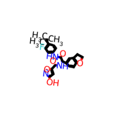 CC(C)(C)c1ccc(NC(=O)C(NC(=O)c2cc(O)no2)c2ccc3c(c2)CCO3)cc1F